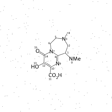 CNC1CN(C)CCn2c1nc(C(=O)O)c(O)c2=O